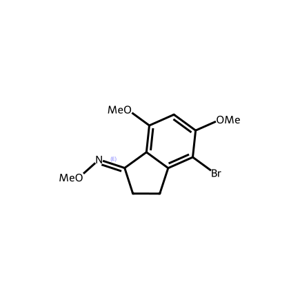 CO/N=C1\CCc2c(Br)c(OC)cc(OC)c21